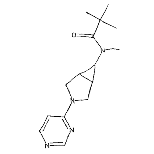 CN(C(=O)C(C)(C)C)C1C2CN(c3ccncn3)CC21